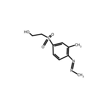 C/N=N/c1ccc(S(=O)(=O)CCO)cc1C